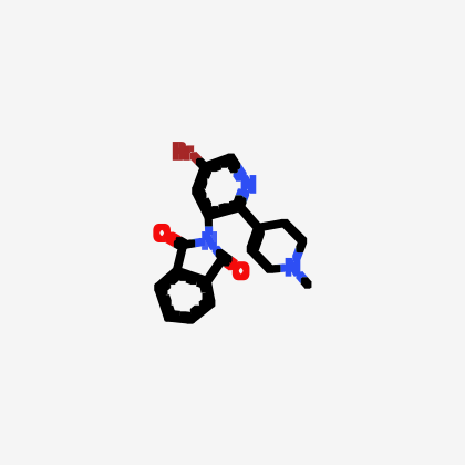 CN1CC=C(c2ncc(Br)cc2N2C(=O)c3ccccc3C2=O)CC1